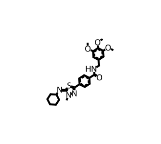 COc1cc(CNC(=O)c2ccc(-c3nn(C)/c(=N\C4CCCCC4)s3)cc2)cc(OC)c1OC